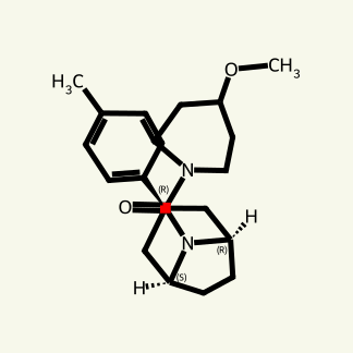 COC1CCN(C(=O)N2[C@@H]3CC[C@H]2C[C@@H](c2ccc(C)cc2)C3)CC1